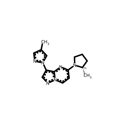 Cc1cnn(-c2cnn3ccc(N4CCC[C@@H]4C)nc23)c1